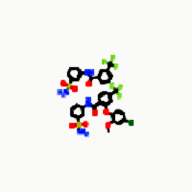 COc1cc(Cl)ccc1Oc1cc(C(F)(F)F)ccc1C(=O)Nc1cccc(S(N)(=O)=O)c1.NS(=O)(=O)c1cccc(NC(=O)c2cccc(C(F)(F)F)c2)c1